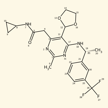 Cc1nc(CC(=O)NC2CC2)c(C2OCCO2)c(N[C@H](C)c2cccc(C(F)(F)F)c2)n1